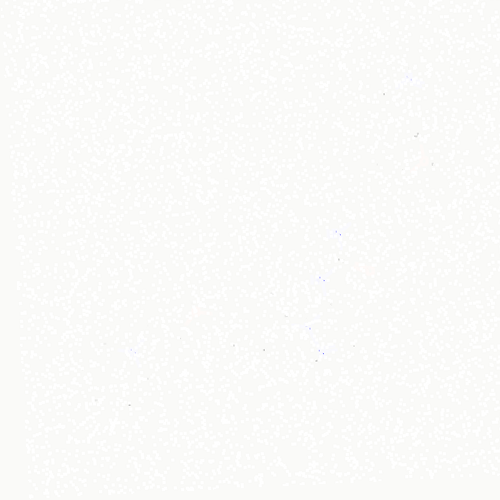 CC(C)(C)c1cc(NC(=O)Nc2ccc(Oc3ccncc3)cc2)n(-c2ccc(OCCN3CCCCC3)cc2)n1